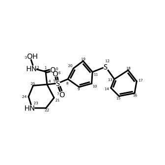 O=C(NO)C1(S(=O)(=O)c2ccc(Sc3ccccc3)cc2)CCNCC1